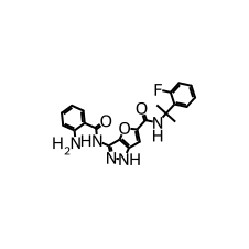 CC(C)(NC(=O)c1cc2[nH]nc(NC(=O)c3ccccc3N)c2o1)c1ccccc1F